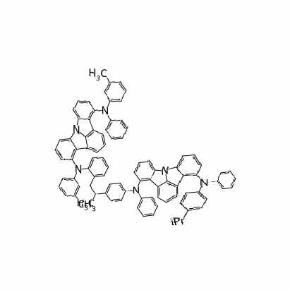 Cc1cccc(N(c2ccccc2)c2cccc3c2c2cccc4c5c(N(c6cccc(C)c6)c6ccccc6CC(C)c6ccc(N(c7ccccc7)c7cccc8c7c7cccc9c%10c(N(c%11ccccc%11)c%11ccc(C(C)C)cc%11)cccc%10n8c97)cc6)cccc5n3c24)c1